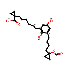 O=COC1(CCCCc2cc(O)cc(CCCCCCC3(C(=O)O)CC3)c2O)CC1